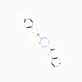 CC(C)(C1CCN(C(=O)Nc2ccnnc2)CC1)S(=O)(=O)c1ccc(C(F)(F)F)nc1